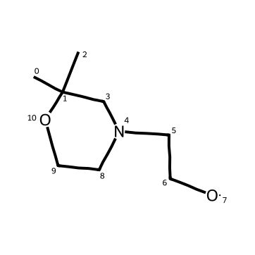 CC1(C)CN(CC[O])CCO1